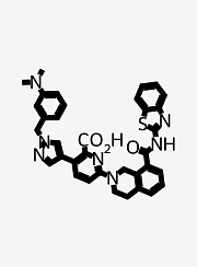 CN(C)c1cccc(Cn2cc(-c3ccc(N4CCc5cccc(C(=O)Nc6nc7ccccc7s6)c5C4)nc3C(=O)O)cn2)c1